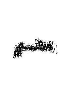 Cc1c(-c2cc(C(F)(F)F)nn2C)ccc(OCCCCCOCCOCCOc2cccc3c2C(=O)N(C2CCC(=O)NC2=O)C3=O)c1-c1ccc(Cl)c(C(F)(F)F)c1